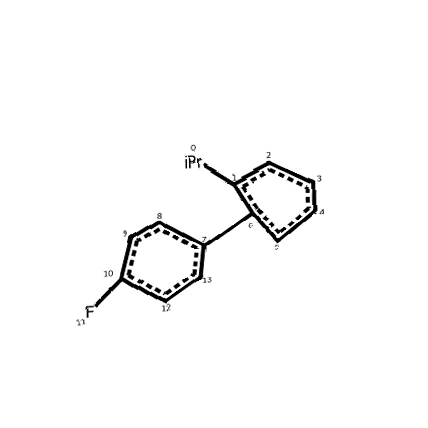 CC(C)c1cc[c]cc1-c1ccc(F)cc1